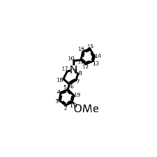 COc1cccc(C2=CCN(Cc3ccccc3)CC2)c1